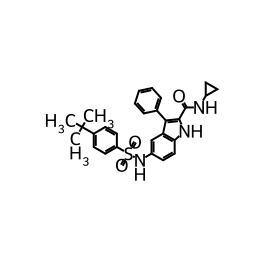 CC(C)(C)c1ccc(S(=O)(=O)Nc2ccc3[nH]c(C(=O)NC4CC4)c(-c4ccccc4)c3c2)cc1